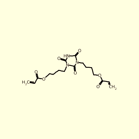 C=CC(=O)OCCCCn1c(=O)[nH]c(=O)n(CCCCOC(=O)C=C)c1=O